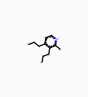 CCCc1[c]cnc(C)c1CCC